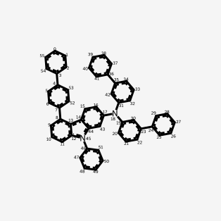 c1ccc(-c2ccc(-c3cccc4c3c3ccc(N(c5cccc(-c6ccccc6)c5)c5cccc(-c6ccccc6)c5)cc3n4-c3ccccc3)cc2)cc1